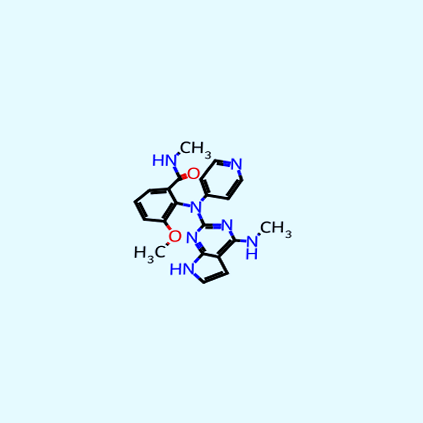 CNC(=O)c1cccc(OC)c1N(c1ccncc1)c1nc(NC)c2cc[nH]c2n1